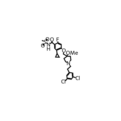 COC1(COc2cc(F)c(C(=O)NS(C)(=O)=O)cc2C2CC2)CCN(CCc2cc(Cl)cc(Cl)c2)CC1